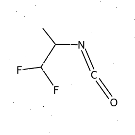 CC(N=C=O)C(F)F